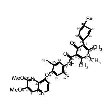 COc1cc2nccc(Oc3cc(F)c(NC(=O)c4c(C)n(C)c(C)c(-c5ccc(F)cc5)c4=O)cc3F)c2nc1OC